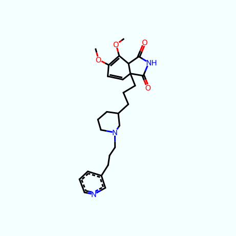 COC1=C(OC)C2C(=O)NC(=O)C2(CCCC2CCCN(CCCc3cccnc3)C2)C=C1